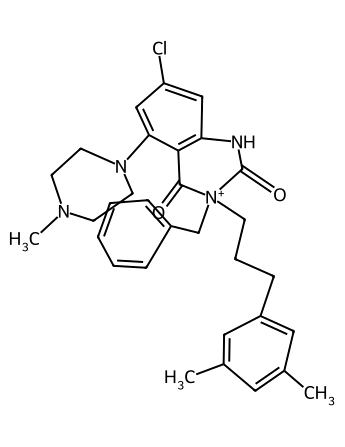 Cc1cc(C)cc(CCC[N+]2(Cc3ccccc3)C(=O)Nc3cc(Cl)cc(N4CCN(C)CC4)c3C2=O)c1